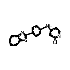 Clc1cc(Nc2ccc(-c3nc4ccccc4s3)cc2)ccn1